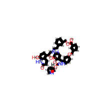 O=C(NC(c1ccccc1)c1cccc(OCc2cccc(C(=O)OCc3cccc(CCNCC(O)c4ccc(O)c5[nH]c(=O)ccc45)c3)c2)c1)O[C@H]1CN2CCC1CC2